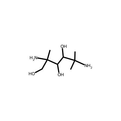 CC(C)(N)C(O)C(O)C(C)(N)CO